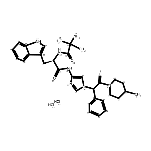 CC1CCN(C(=O)C(c2ccccc2)n2cnc(NC(=O)[C@@H](Cc3c[nH]c4ccccc34)NC(=O)C(C)(C)N)c2)CC1.Cl.Cl